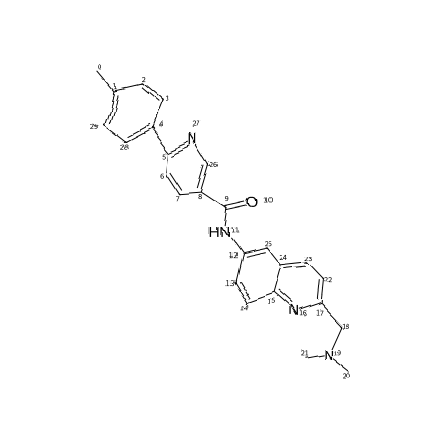 Cc1ccc(-c2ccc(C(=O)Nc3ccc4nc(CN(C)C)ccc4c3)cn2)cc1